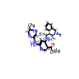 CC[C@@H](C[C@H](C)N(C)Cc1ccccc1)Nc1cc(Nc2cnc(C#N)cn2)ncc1C(=O)OC